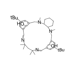 CN1Cc2cc(C(C)(C)C)cc(c2O)/C=N/C(C)(C)CC(C)(C)/N=C/c2cc(C(C)(C)C)cc(c2O)CN(C)C2CCCCC21